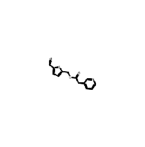 O=Cc1ccc(COC(=O)Cc2cccnc2)s1